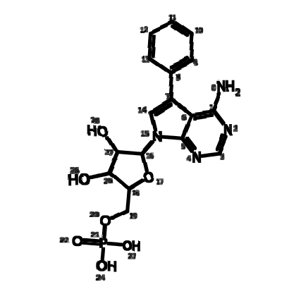 Nc1ncnc2c1c(-c1ccccc1)cn2C1OC(COP(=O)(O)O)C(O)C1O